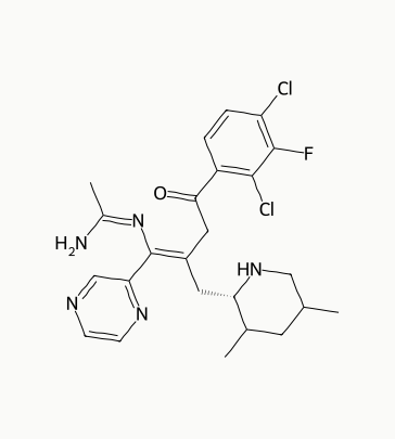 C/C(N)=N/C(=C(\CC(=O)c1ccc(Cl)c(F)c1Cl)C[C@@H]1NCC(C)CC1C)c1cnccn1